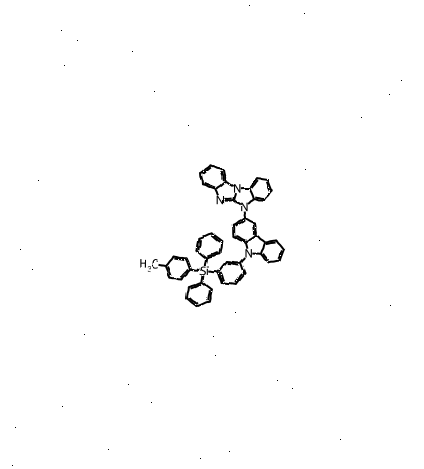 Cc1ccc([Si](c2ccccc2)(c2ccccc2)c2cccc(-n3c4ccccc4c4cc(-n5c6ccccc6n6c7ccccc7nc56)ccc43)c2)cc1